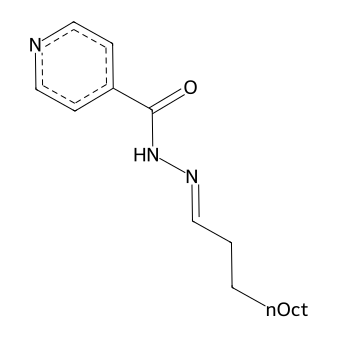 CCCCCCCCCC/C=N/NC(=O)c1ccncc1